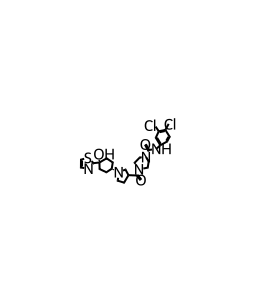 O=C(Nc1ccc(Cl)c(Cl)c1)N1CCN(C(=O)C2CCN([C@H]3CC[C@@](O)(c4nccs4)CC3)C2)CC1